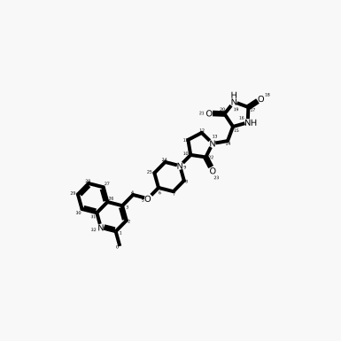 Cc1cc(COC2CCN(C3CCN(CC4NC(=O)NC4=O)C3=O)CC2)c2ccccc2n1